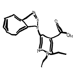 Cc1c(C(=O)O)c(-n2nnc3ccccc32)nn1C